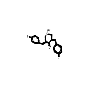 CC(C)N1CC(=Cc2ccc(F)cc2)C(=O)C(=Cc2ccc(F)cc2)C1